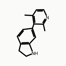 Cc1ccnc(C)c1-c1ccc2c(c1)NCC2